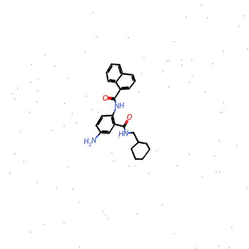 Nc1ccc(NC(=O)c2cccc3ccccc23)c(C(=O)NCC2CCCCC2)c1